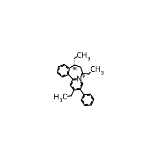 CCc1cc2[n+](cc1-c1ccccc1)[C@H](CC)C[C@@H](CC)c1ccccc1-2